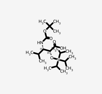 CC(C)[C@H](NC(=O)OC(C)(C)C)[C@@H](O[Si](C(C)C)(C(C)C)C(C)C)C(=O)O